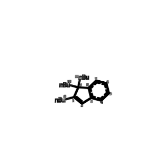 CCCCC1=Cc2ccccc2C1(CCCC)CCCC